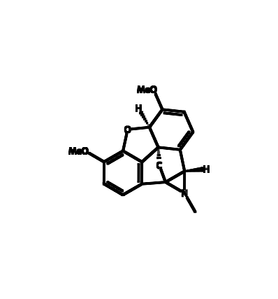 COC1=CC=C2[C@@H]3N(C)C34C[C@@]23c2c4ccc(OC)c2O[C@@H]13